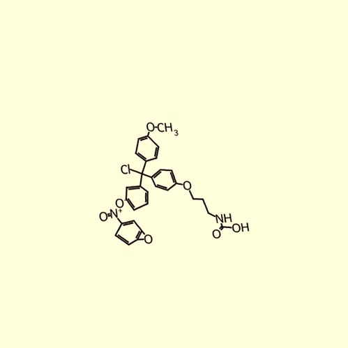 COc1ccc(C(Cl)(c2ccccc2)c2ccc(OCCCNC(=O)O)cc2)cc1.O=[N+]([O-])c1ccc2c(c1)O2